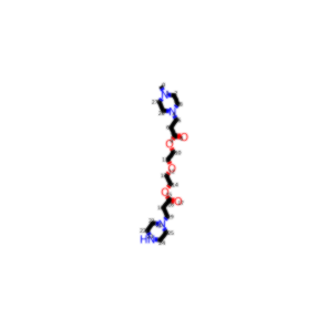 CN1CCN(CCC(=O)OCCOCCOC(=O)CCN2CCNCC2)CC1